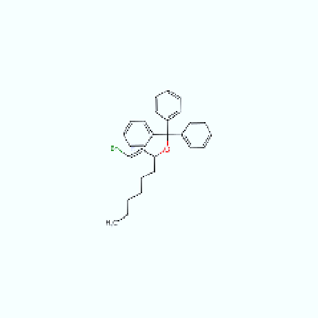 CCCCCCC(/C=C/Br)OC(c1ccccc1)(c1ccccc1)c1ccccc1